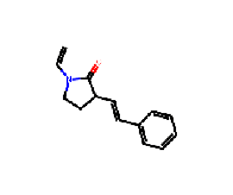 C=CN1CCC(/C=C/c2ccccc2)C1=O